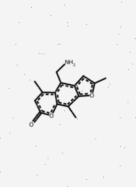 Cc1cc2c(CN)c3c(C)cc(=O)oc3c(C)c2o1